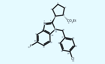 CCOC(=O)[C@H]1CCC[C@@H]1c1nc2cc(F)ccc2n1Cc1ccc(Cl)cc1